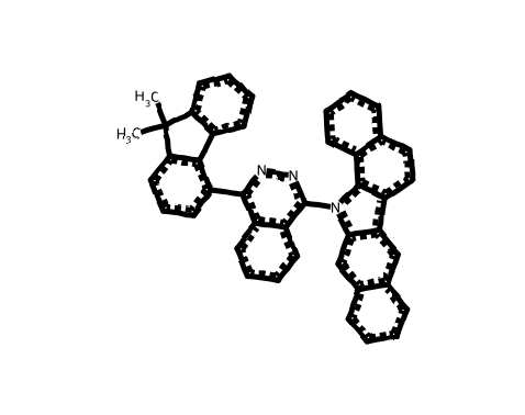 CC1(C)c2ccccc2-c2c(-c3nnc(-n4c5cc6ccccc6cc5c5ccc6ccccc6c54)c4ccccc34)cccc21